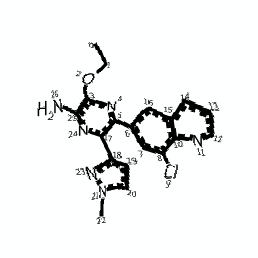 CCOc1nc(-c2cc(Cl)c3ncccc3c2)c(-c2ccn(C)n2)nc1N